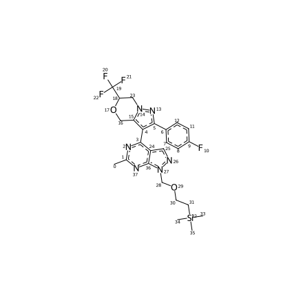 Cc1nc(-c2c(-c3ccc(F)cc3)nn3c2COC(C(F)(F)F)C3)c2cnn(COCC[Si](C)(C)C)c2n1